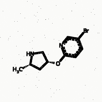 C[C@H]1C[C@@H](Oc2ccc(Br)cn2)CN1